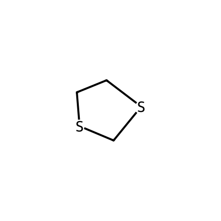 C1CSCS1